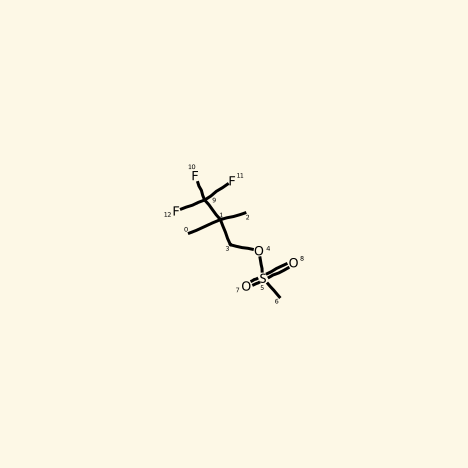 CC(C)(COS(C)(=O)=O)C(F)(F)F